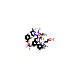 CC(C)(C)OC(=O)NC(Cc1cc(NC(=O)OCc2ccccc2)cc(-c2ccc3ncn(CCCO)c3c2)c1)C(=O)N1CCCC(C(=O)O)N1